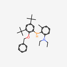 CCN(CC)c1cccc(C)c1Pc1cc(C(C)(C)C)cc(C(C)(C)C)c1OCc1ccccc1